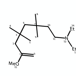 C=C(CC(C)(C)CC(C)(C)CCN(CC)CC)OC